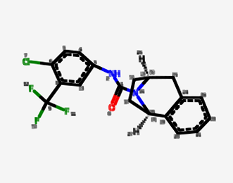 O=C(Nc1ccc(Cl)c(C(F)(F)F)c1)N1[C@H]2CC[C@@H]1c1ccccc1C2